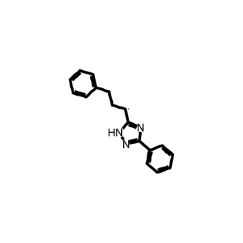 [CH](CCc1ccccc1)c1nc(-c2ccccc2)n[nH]1